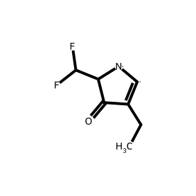 CCC1=[C][N]C(C(F)F)C1=O